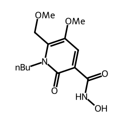 CCCCn1c(COC)c(OC)cc(C(=O)NO)c1=O